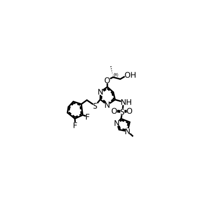 C[C@H](CO)Oc1cc(NS(=O)(=O)c2cn(C)cn2)nc(SCc2cccc(F)c2F)n1